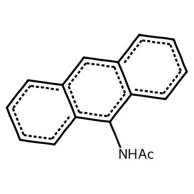 CC(=O)Nc1c2ccccc2cc2ccccc12